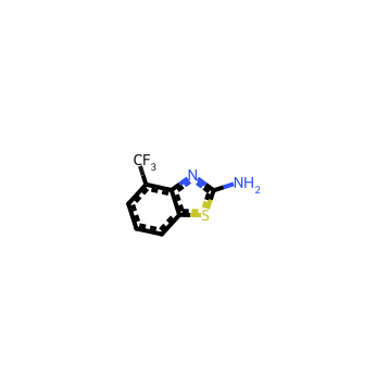 Nc1nc2c(C(F)(F)F)cccc2s1